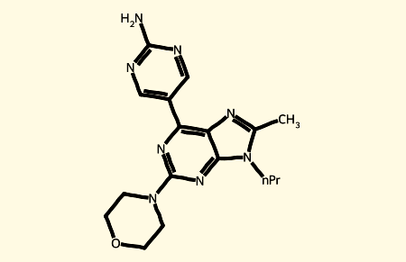 CCCn1c(C)nc2c(-c3cnc(N)nc3)nc(N3CCOCC3)nc21